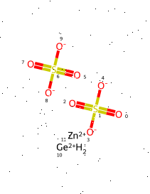 O=S(=O)([O-])[O-].O=S(=O)([O-])[O-].[GeH2+2].[Zn+2]